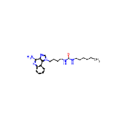 CCCCCCNC(=O)NCCCCn1cnc2c(N)nc3ccccc3c21